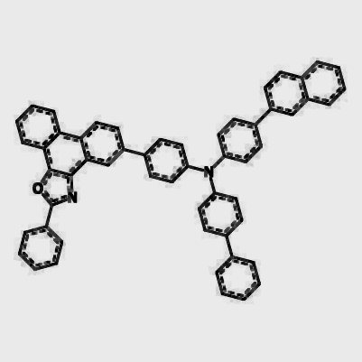 c1ccc(-c2ccc(N(c3ccc(-c4ccc5ccccc5c4)cc3)c3ccc(-c4ccc5c6ccccc6c6oc(-c7ccccc7)nc6c5c4)cc3)cc2)cc1